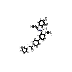 N=N/N=C(\Nc1cccc(F)c1F)c1cc(C2=CCN(C(=O)C[C@@H]3CCCN3)CC2)cnc1N